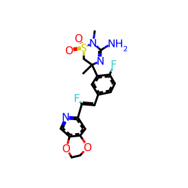 CN1C(N)=NC(C)(c2cc(C=C(F)c3cc4c(cn3)OCCO4)ccc2F)CS1(=O)=O